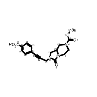 CCCCOC(=O)N1CCN2C(=O)N(CC#Cc3ccc(C(=O)O)cc3)CC2C1